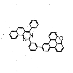 c1ccc(-c2nc(-c3cccc(-c4ccc5c(c4)c4cccc6oc7cccc5c7c64)c3)nc3c2ccc2ccccc23)cc1